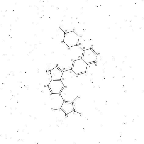 Cc1nn(C)c(C)c1-c1cnc2[nH]cc(-c3ccc4ncnc(N5CCN(C)CC5)c4c3)c2c1